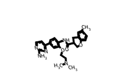 Cc1ccc2c(c1)CC(C(=O)Nc1ccc(-c3ccnc(N)n3)cc1OCCN(C)C)CO2